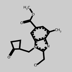 COC(=O)c1cc(C)c2nc(CCl)n(CC3CCC3=O)c2c1